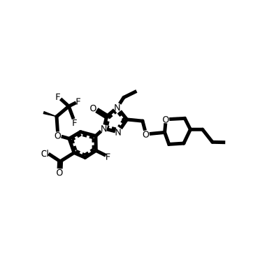 CCCC1CCC(OCc2nn(-c3cc(O[C@@H](C)C(F)(F)F)c(C(=O)Cl)cc3F)c(=O)n2CC)OC1